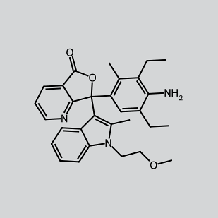 CCc1cc(C2(c3c(C)n(CCOC)c4ccccc34)OC(=O)c3cccnc32)c(C)c(CC)c1N